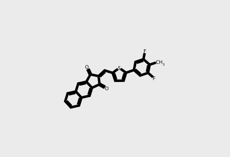 Cc1c(F)cc(-c2ccc(C=C3C(=O)c4cc5ccccc5cc4C3=O)s2)cc1F